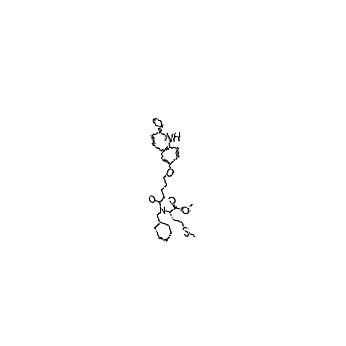 COC(=O)C(CCSC)N(CC1CCCCC1)C(=O)CCCCOc1ccc2[nH]c(=O)ccc2c1